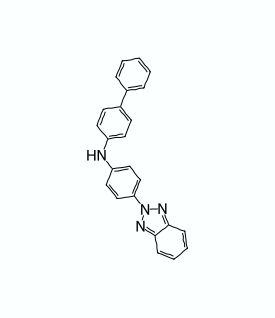 c1ccc(-c2ccc(Nc3ccc(-n4nc5ccccc5n4)cc3)cc2)cc1